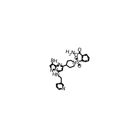 Bc1cnn2c(NCc3cccnc3)cc(C3CCN(S(=O)(=O)c4ccccc4C(=O)ON)CC3)nc12